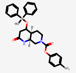 CC(C)(C)[Si](OC1CC(=O)N[C@@H]2CN(C(=O)Oc3ccc([N+](=O)[O-])cc3)CC[C@H]12)(c1ccccc1)c1ccccc1